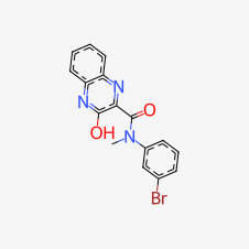 CN(C(=O)c1nc2ccccc2nc1O)c1cccc(Br)c1